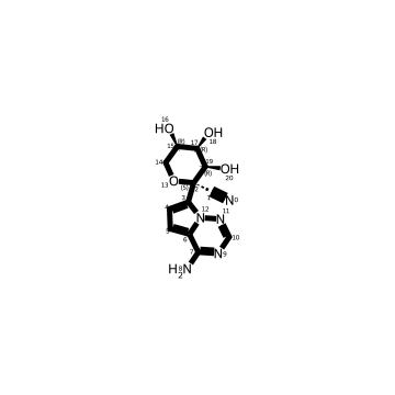 N#C[C@]1(c2ccc3c(N)ncnn23)OC[C@@H](O)[C@@H](O)[C@H]1O